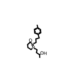 Cc1ccc(CCCN2C(=O)CCCN2CCC(C)O)cc1